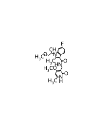 COCC(C)n1c(C)c(C(=O)NCc2c(OC)cc(C)[nH]c2=O)c2ccc(F)cc21